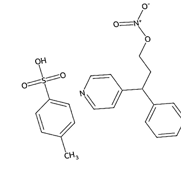 Cc1ccc(S(=O)(=O)O)cc1.O=[N+]([O-])OCCC(c1ccccc1)c1ccncc1